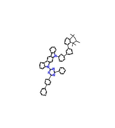 CC1CC(C)(C)c2cccc(-c3cccc(-c4cccc(-n5c6ccccc6c6cc7c8ccccc8n(-c8nc(-c9ccccc9)nc(-c9ccc(-c%10ccccc%10)cc9)n8)c7cc65)c4)c3)c2C1(C)C